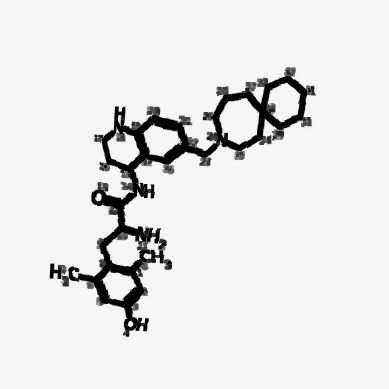 Cc1cc(O)cc(C)c1CC(N)C(=O)NC1CCNc2ccc(CN3CCCC4(CCCCC4)CC3)cc21